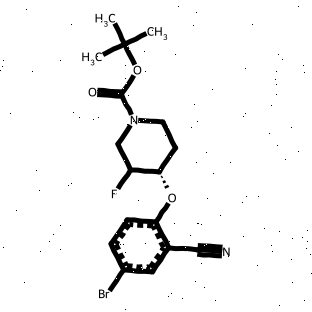 CC(C)(C)OC(=O)N1CC[C@H](Oc2ccc(Br)cc2C#N)C(F)C1